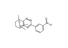 CC12CCC(c3nc(-c4cccc([N+](=O)[O-])c4)nnc31)C(C)(C)O2